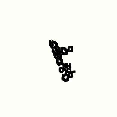 CC(=O)OC(C(=O)Nc1ccc(CN(Cc2cccnc2)S(=O)(=O)c2ccc(Cl)cc2)cc1)c1ccccc1